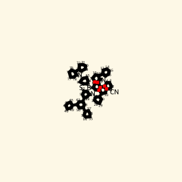 N#Cc1ccc(-n2c3ccccc3c3ccccc32)c(-c2ccc3c(c2)N(c2ccccc2-c2ccccc2)c2cc(-c4cc(-c5ccccc5)cc(-c5ccccc5)c4)cc4c2B3c2ccc(-n3c5ccccc5c5ccccc53)cc2S4)c1